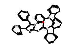 c1ccc(-c2nc3nc(-n4c5ccccc5c5ccc6c7ccccc7n(-c7ccccc7)c6c54)ccn3c2-c2ccccc2)cc1